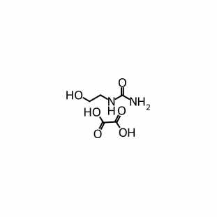 NC(=O)NCCO.O=C(O)C(=O)O